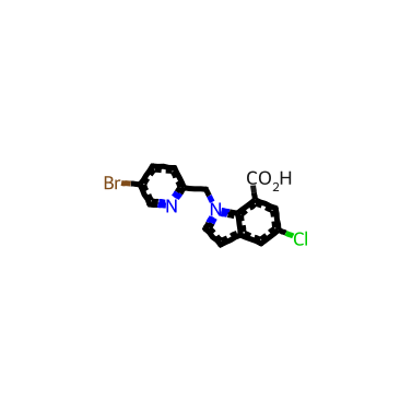 O=C(O)c1cc(Cl)cc2ccn(Cc3ccc(Br)cn3)c12